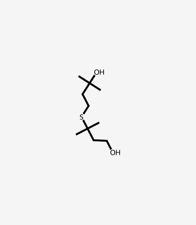 CC(C)(O)CCSC(C)(C)CCO